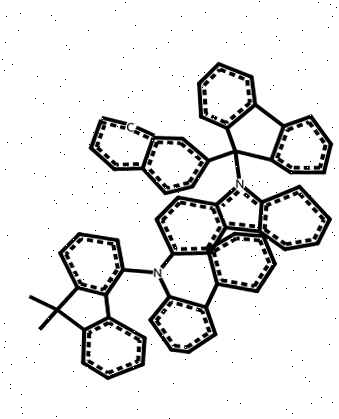 CC1(C)c2ccccc2-c2c(N(c3ccc4c(c3)c3ccccc3n4C3(c4ccc5ccccc5c4)c4ccccc4-c4ccccc43)c3ccccc3-c3ccccc3)cccc21